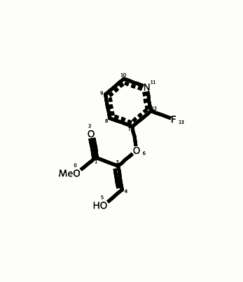 COC(=O)C(=CO)Oc1cccnc1F